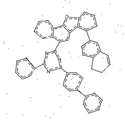 C1=Cc2cc(-c3cccc4oc5c6ccccc6c(-c6nc(-c7ccccc7)nc(-c7ccc(-c8ccccc8)cc7)n6)cc5c34)ccc2CC1